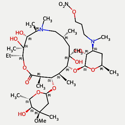 CC[C@H]1OC(=O)[C@H](C)[C@@H](O[C@H]2C[C@@](C)(OC)[C@@H](O)[C@H](C)O2)[C@H](C)[C@@H](O[C@@H]2O[C@H](C)C[C@H](N(C)CCCO[N+](=O)[O-])[C@H]2O)[C@](C)(O)C[C@@H](C)CN(C)[C@H](C)[C@@H](O)[C@]1(C)O